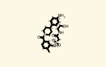 Cc1ccc(C(=O)N2CCC(c3ccc(N)cc3)CC2)cc1NS(=O)(=O)CC(=O)NCCO